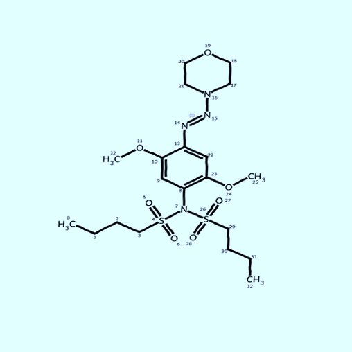 CCCCS(=O)(=O)N(c1cc(OC)c(/N=N/N2CCOCC2)cc1OC)S(=O)(=O)CCCC